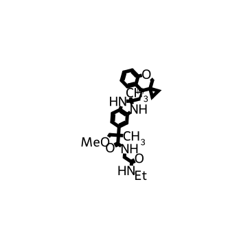 CCNC(=O)CNC(=O)C(C)(COC)c1ccc2c(c1)NC(C)(C[C@H]1c3ccccc3OCC13CC3)N2